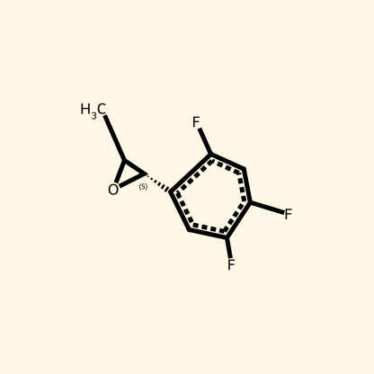 CC1O[C@H]1c1cc(F)c(F)cc1F